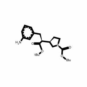 CC(C)(C)OC(=O)[C@@H](Cc1cccc(N)c1)[C@H]1CCN(C(=O)OC(C)(C)C)C1